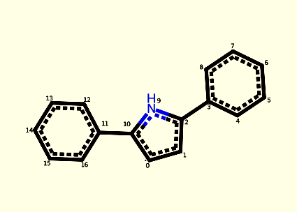 [c]1cc(-c2ccccc2)[nH]c1-c1ccccc1